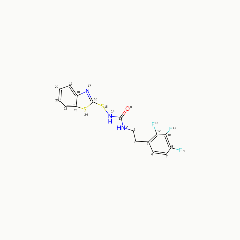 O=C(NCCc1ccc(F)c(F)c1F)NSc1nc2ccccc2s1